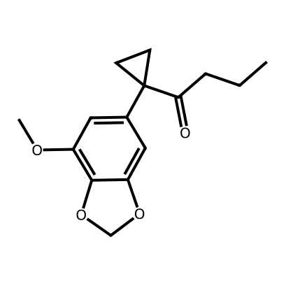 CCCC(=O)C1(c2cc(OC)c3c(c2)OCO3)CC1